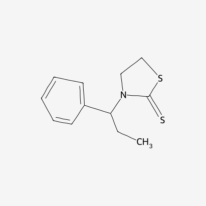 CCC(c1ccccc1)N1CCSC1=S